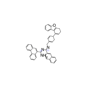 N/C(=N\C(=N/CC1=CCC(C2=CCCc3oc4ccccc4c32)C=C1)c1ccc2ccccc2c1)c1cc2ccccc2c2ccccc12